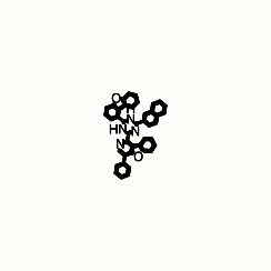 c1ccc(-c2cnc(C3=NC(c4ccc5ccccc5c4)NC(c4cccc5oc6ccccc6c45)N3)c3c2oc2ccccc23)cc1